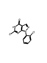 O=c1[nH]c(Cl)nc2c1cnn2-c1ccccc1Cl